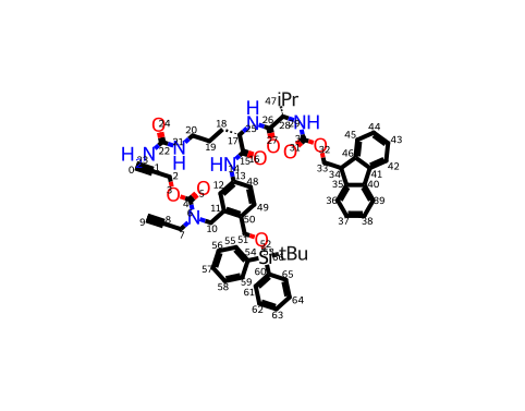 C#CCOC(=O)N(CC#C)Cc1cc(NC(=O)[C@H](CCCNC(N)=O)NC(=O)[C@@H](NC(=O)OCC2c3ccccc3-c3ccccc32)C(C)C)ccc1CO[Si](c1ccccc1)(c1ccccc1)C(C)(C)C